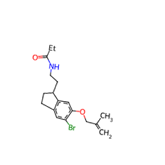 C=C(C)COc1cc2c(cc1Br)CCC2CCNC(=O)CC